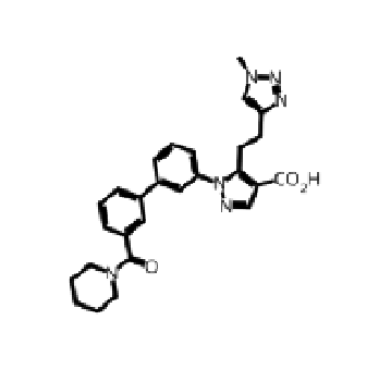 Cn1cc(CCc2c(C(=O)O)cnn2-c2cccc(-c3cccc(C(=O)N4CCCCC4)c3)c2)nn1